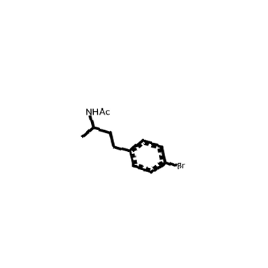 CC(=O)NC(C)CCc1ccc(Br)cc1